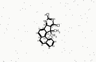 CC1(C)c2c(Cl)nc(Cl)nc2-c2ccc3ccc4ccccc4c3c21